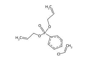 C=CCOP(=O)(OCC=C)c1ccccc1.C=CCl